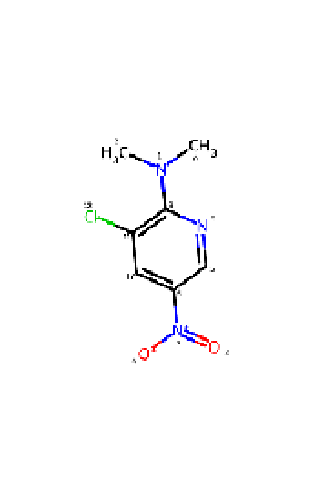 CN(C)c1ncc([N+](=O)[O-])cc1Cl